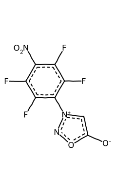 O=[N+]([O-])c1c(F)c(F)c(-[n+]2cc([O-])on2)c(F)c1F